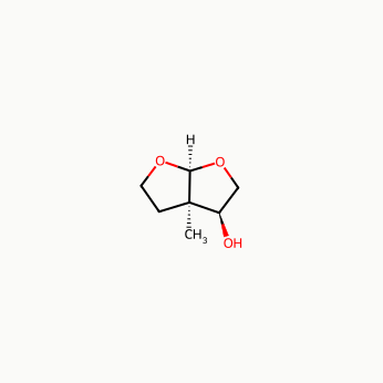 C[C@]12CCO[C@H]1OC[C@H]2O